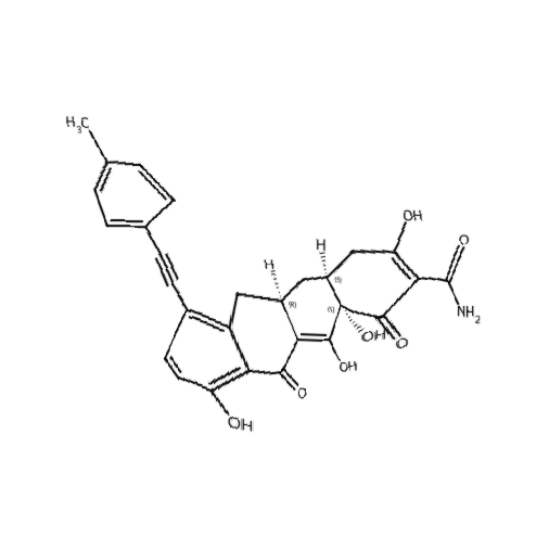 Cc1ccc(C#Cc2ccc(O)c3c2C[C@H]2C[C@H]4CC(O)=C(C(N)=O)C(=O)[C@@]4(O)C(O)=C2C3=O)cc1